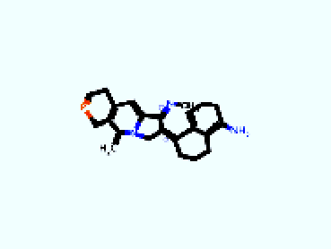 C=C1C2=C(C=C3C(=N/C)/C(=C4/CCCC5=C(N)CCC=C54)CN13)CC=PC2